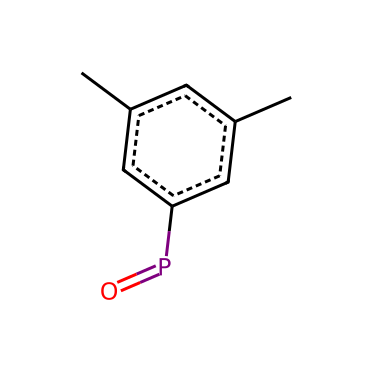 Cc1cc(C)cc(P=O)c1